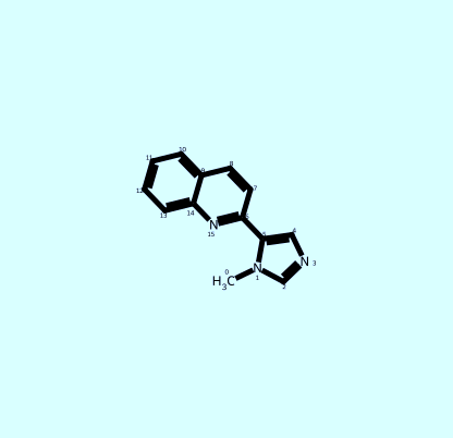 Cn1cncc1-c1ccc2ccccc2n1